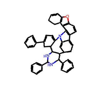 C1=Cc2oc3ccc4c5c6n(c4c3c2CC1)C1=CC=C(c2ccccc2)CC1C1NC(c2ccccc2)NC(c2ccccc2)C1C(C=6)CC=5